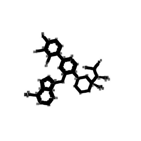 C[C@@H](C(F)F)[C@@]1(N)CCCN(c2cnc(-c3ccc(F)c(F)c3F)cc2Cn2cnc3c(N)ncnc32)C1